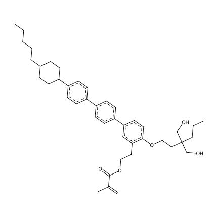 C=C(C)C(=O)OCCc1cc(-c2ccc(-c3ccc(C4CCC(CCCCC)CC4)cc3)cc2)ccc1OCCC(CO)(CO)CCC